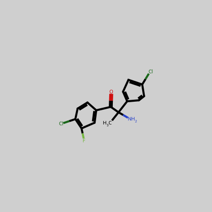 CC(N)(C(=O)c1ccc(Cl)c(F)c1)c1ccc(Cl)cc1